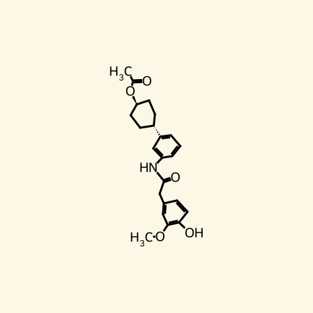 COc1cc(CC(=O)Nc2cccc([C@H]3CC[C@H](OC(C)=O)CC3)c2)ccc1O